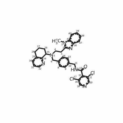 Cn1c(CCN(Cc2ccc(CNC(=O)c3c(Cl)cncc3Cl)cc2)C2CCCc3cccnc32)nc2ccccc21